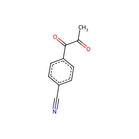 CC(=O)C(=O)c1ccc(C#N)cc1